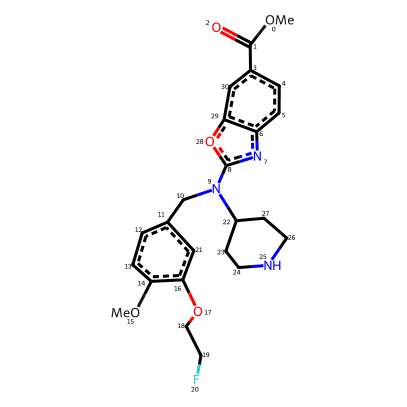 COC(=O)c1ccc2nc(N(Cc3ccc(OC)c(OCCF)c3)C3CCNCC3)oc2c1